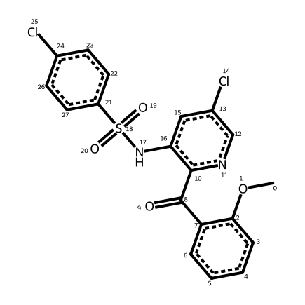 COc1ccccc1C(=O)c1ncc(Cl)cc1NS(=O)(=O)c1ccc(Cl)cc1